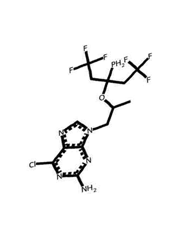 CC(Cn1cnc2c(Cl)nc(N)nc21)OC(P)(CC(F)(F)F)CC(F)(F)F